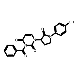 O=C1C(n2ccc(=O)n(C(=O)c3ccccc3)c2=O)CCN1c1ccc(O)cc1